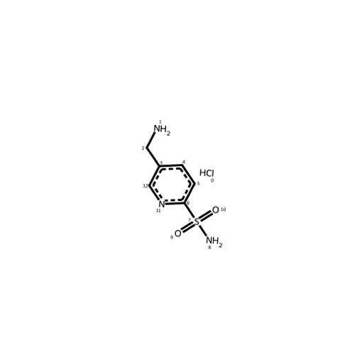 Cl.NCc1ccc(S(N)(=O)=O)nc1